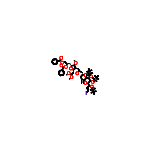 COC(C[C@@H]1O[C@H](C[C@@H](COC(=O)c2ccccc2)OC(=O)c2ccccc2)[C@H](OC)[C@H]1CC(=O)C[C@H]1CC[C@@H]2O[C@@H]([C@H](/C=C/I)O[Si](C)(C)C(C)(C)C)[C@@H](O[Si](C)(C)C(C)(C)C)[C@@H](O[Si](C)(C)C(C)(C)C)[C@H]2O1)OC